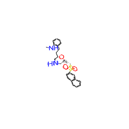 CNc1ccccc1CCC1CNC[C@@H](CS(=O)(=O)c2ccc3ccccc3c2)O1